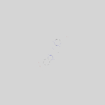 Cc1nc(N2CCn3c(nc4cc(CO)c(S(C)(=O)=O)cc43)[C@@H]2C(C)C)ncc1[C@H](C)O